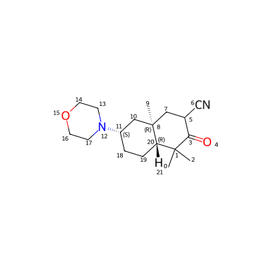 CC1(C)C(=O)C(C#N)C[C@]2(C)C[C@@H](N3CCOCC3)CC[C@@H]12